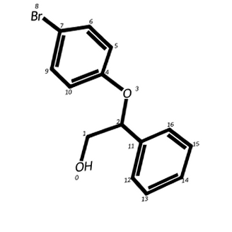 OCC(Oc1ccc(Br)cc1)c1ccccc1